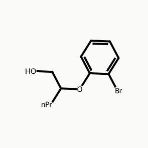 CCCC(CO)Oc1ccccc1Br